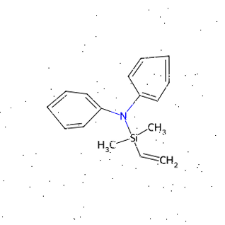 C=C[Si](C)(C)N(c1ccccc1)c1ccccc1